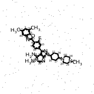 Cc1cc(C)c2oc(-c3ccc(-c4nn(C5CCC(N6CCN(C)CC6)CC5)c5ncnc(N)c45)cc3F)nc2c1.N